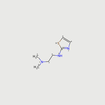 CN(C)CCNc1nccs1